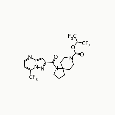 O=C(OC(C(F)(F)F)C(F)(F)F)N1CCC2(CCCN2C(=O)c2cc3nccc(C(F)(F)F)n3n2)CC1